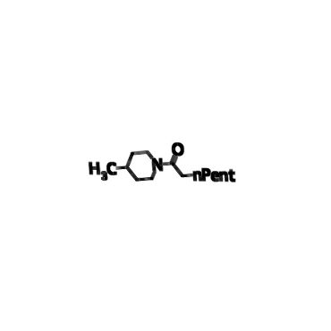 CCCCCCC(=O)N1CCC(C)CC1